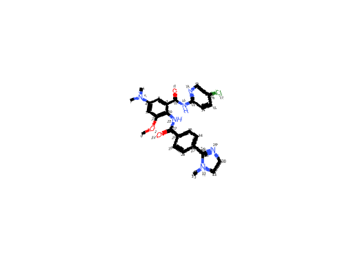 COc1cc(N(C)C)cc(C(=O)Nc2ccc(Cl)cn2)c1NC(=O)c1ccc(C2=NCCN2C)cc1